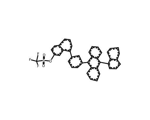 O=S(=O)(Oc1ccc2cccc(-c3cccc(-c4c5ccccc5c(-c5cccc6ccccc56)c5ccccc45)c3)c2c1)C(F)(F)F